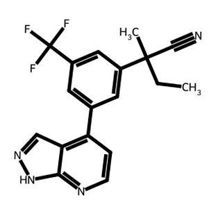 CCC(C)(C#N)c1cc(-c2ccnc3[nH]ncc23)cc(C(F)(F)F)c1